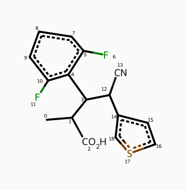 CC(C(=O)O)C(c1c(F)cccc1F)C(C#N)c1ccsc1